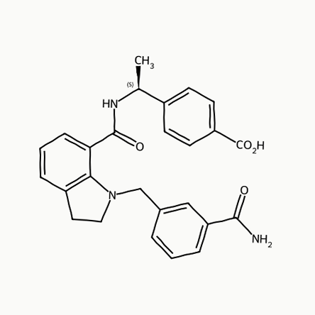 C[C@H](NC(=O)c1cccc2c1N(Cc1cccc(C(N)=O)c1)CC2)c1ccc(C(=O)O)cc1